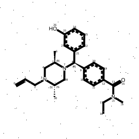 C=CCN1C[C@@H](C)N([C@H](c2ccc(C(=O)N(C)CC)cc2)c2cccc(O)c2)C[C@@H]1C